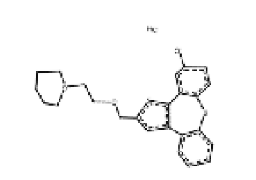 Cl.Clc1ccc2c(c1)-c1sc(COCCN3CCCCC3)cc1-c1ccccc1S2